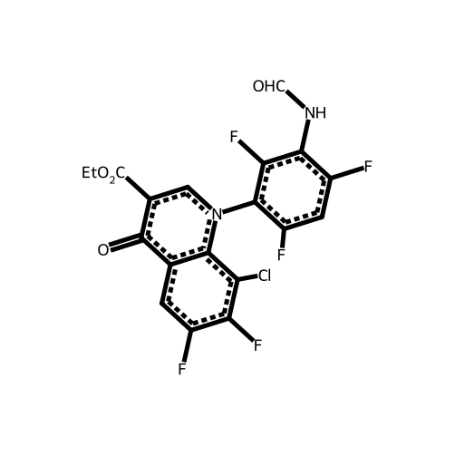 CCOC(=O)c1cn(-c2c(F)cc(F)c(NC=O)c2F)c2c(Cl)c(F)c(F)cc2c1=O